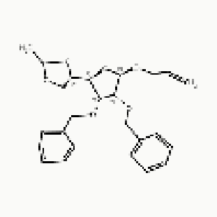 C=CCO[C@@H]1O[C@H]([C@H]2COC(C)O2)[C@@H](OCc2ccccc2)[C@H]1OCc1ccccc1